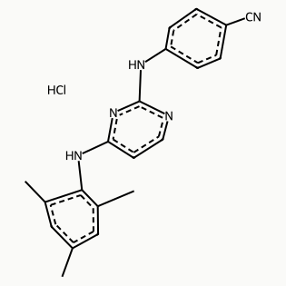 Cc1cc(C)c(Nc2ccnc(Nc3ccc(C#N)cc3)n2)c(C)c1.Cl